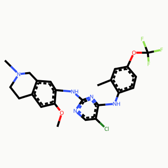 COc1cc2c(cc1Nc1ncc(Cl)c(Nc3ccc(OC(F)(F)F)cc3C)n1)CN(C)CC2